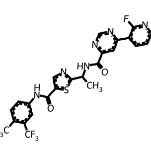 Cc1ccc(NC(=O)c2cnc(C(C)NC(=O)c3cc(-c4cccnc4F)ncn3)s2)cc1C(F)(F)F